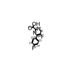 O=C(O)c1ncc(F)c(-c2ccc(F)cc2)n1